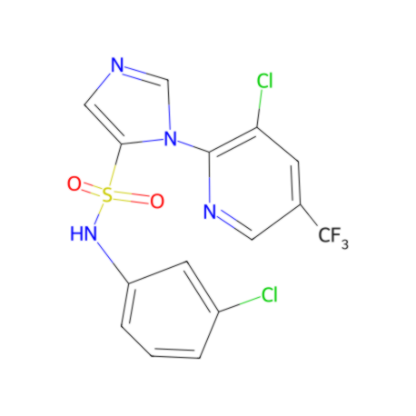 O=S(=O)(Nc1cccc(Cl)c1)c1cncn1-c1ncc(C(F)(F)F)cc1Cl